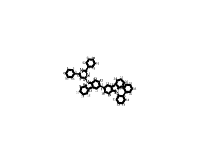 c1ccc(-c2cc(-n3c4ccccc4c4cc(-c5ccc6c(c5)c5ccccc5n6-c5ccccc5-c5ccccc5)ccc43)nc(-c3ccccc3)n2)cc1